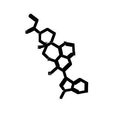 C=CC(=O)N1CCN2c3ncnc4cc(-c5cn(C)c6ccccc56)c(Cl)c(c34)OC[C@@H]2C1